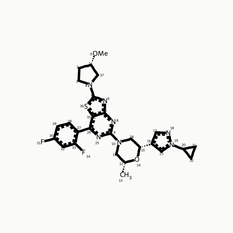 CO[C@H]1CCN(c2nc3nc(N4C[C@@H](C)O[C@@H](c5cnn(C6CC6)c5)C4)nc(-c4ccc(F)cc4F)c3s2)C1